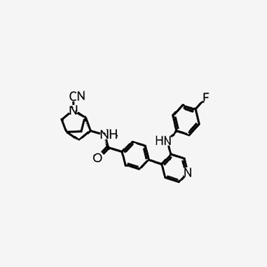 N#CN1CC2CC(NC(=O)c3ccc(-c4ccncc4Nc4ccc(F)cc4)cc3)C1C2